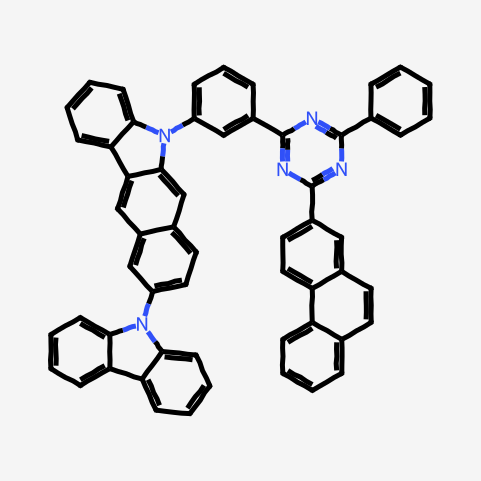 c1ccc(-c2nc(-c3cccc(-n4c5ccccc5c5cc6cc(-n7c8ccccc8c8ccccc87)ccc6cc54)c3)nc(-c3ccc4c(ccc5ccccc54)c3)n2)cc1